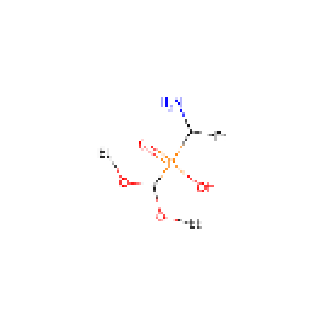 CCOC(OCC)P(=O)(O)C(N)CC